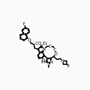 CCOC(=O)c1c(CCCOc2cccc3cc(F)ccc23)c2ccc(Cl)c3c2n1CCCCOC(CCN1CC(F)C1)c1nn(C)c(CC)c1-3